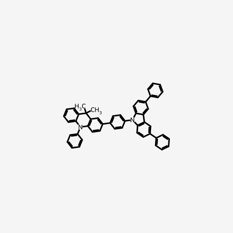 CC1(C)c2ccccc2N(c2ccccc2)c2ccc(-c3ccc(-n4c5ccc(-c6ccccc6)cc5c5cc(-c6ccccc6)ccc54)cc3)cc21